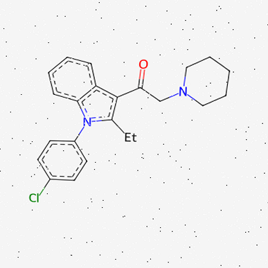 CCc1c(C(=O)CN2CCCCC2)c2ccccc2n1-c1ccc(Cl)cc1